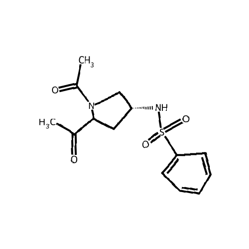 CC(=O)C1C[C@@H](NS(=O)(=O)c2ccccc2)CN1C(C)=O